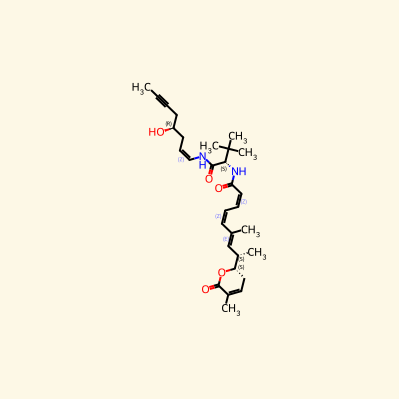 CC#CC[C@H](O)C/C=C\NC(=O)[C@@H](NC(=O)\C=C/C=C\C(C)=C\[C@H](C)[C@@H]1CC=C(C)C(=O)O1)C(C)(C)C